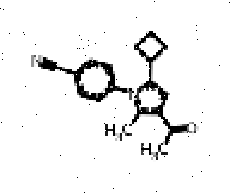 CC(=O)c1cc(C2CCC2)n(-c2ccc(C#N)cc2)c1C